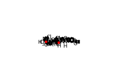 CNC(=O)C1(OC(=O)C2CCC(C(N)=O)C2Nc2nc(Cl)ncc2Cl)CCCC1Nc1nc(Nc2cc3c(cc2OC)CCN(CC(=O)N(C)C)CC3)ncc1Cl